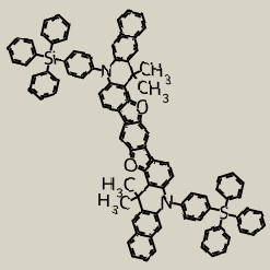 CC1(C)c2cc3ccccc3cc2N(c2ccc([Si](c3ccccc3)(c3ccccc3)c3ccccc3)cc2)c2ccc3c(oc4cc5c(cc43)oc3c4c(ccc35)N(c3ccc(S(c5ccccc5)(c5ccccc5)c5ccccc5)cc3)c3cc5ccccc5cc3C4(C)C)c21